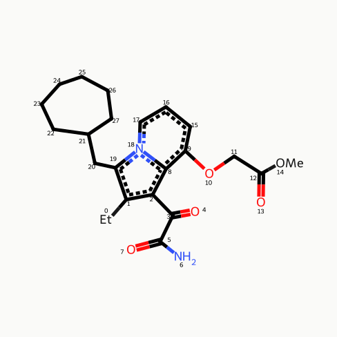 CCc1c(C(=O)C(N)=O)c2c(OCC(=O)OC)cccn2c1CC1CCCCCC1